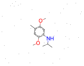 COc1cc(NC(C)C)c(OC)cc1C